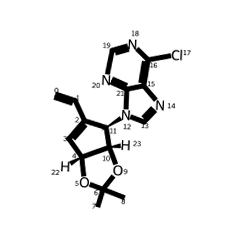 C=CC1=C[C@H]2OC(C)(C)O[C@H]2[C@@H]1n1cnc2c(Cl)ncnc21